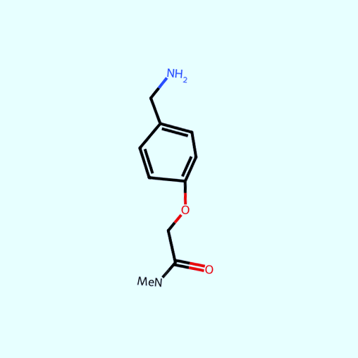 CNC(=O)COc1ccc(CN)cc1